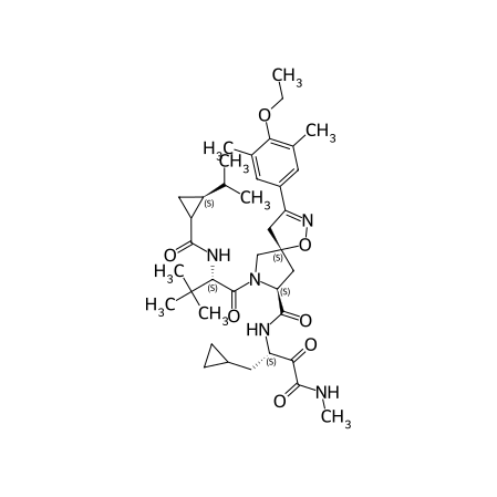 CCOc1c(C)cc(C2=NO[C@]3(C2)C[C@@H](C(=O)N[C@@H](CC2CC2)C(=O)C(=O)NC)N(C(=O)[C@@H](NC(=O)C2C[C@H]2C(C)C)C(C)(C)C)C3)cc1C